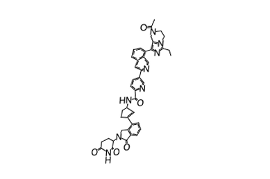 CCc1nc(-c2cccc3cc(-c4ccc(C(=O)NC5C=C(c6cccc7c6CN(C6CCC(=O)NC6=O)C7=O)CC5)nc4)ncc23)c2n1CCN(C(C)=O)C2